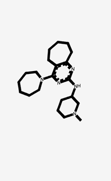 CN1CCCC(Nc2nc3c(c(N4CCCCCC4)n2)CCCCC3)C1